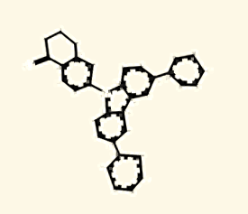 O=C1CCCc2cc(-n3c4ccc(-c5ccccc5)cc4c4cc(-c5ccccc5)ccc43)ccc21